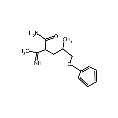 CC(=N)C(CC(C)COc1c[c]ccc1)C(N)=O